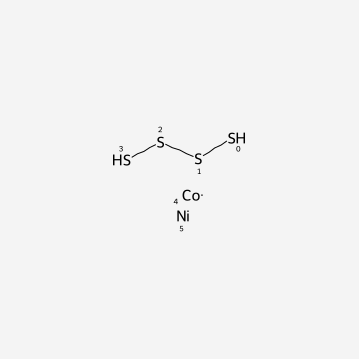 SSSS.[Co].[Ni]